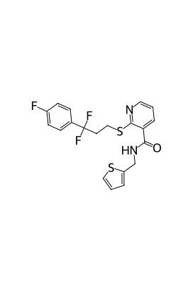 O=C(NCc1cccs1)c1cccnc1SCCC(F)(F)c1ccc(F)cc1